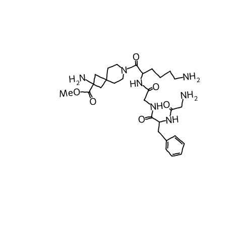 COC(=O)C1(N)CC2(CCN(C(=O)C(CCCCN)NC(=O)CNC(=O)C(Cc3ccccc3)NC(=O)CN)CC2)C1